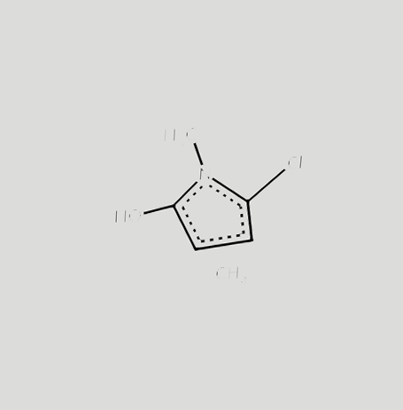 C.Cn1c(O)ccc1Cl